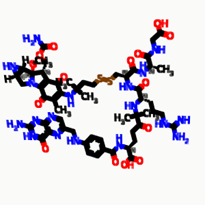 CO[C@@]12[C@H](COC(N)=O)C3=C(C(=O)C(C)=C(NC(C)(C)CCSSC[C@H](NC(=O)[C@H](CCCNC(=N)N)NC(C)(C)C(=O)CC[C@H](NC(=O)c4ccc(NCc5cnc6nc(N)[nH]c(=O)c6n5)cc4)C(=O)O)C(=O)N[C@@H](C)C(=O)NCC(=O)O)C3=O)N1C[C@@H]1N[C@@H]12